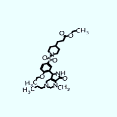 CCCN1CC2=C(C(=O)NC2c2cc(S(=O)(=O)N3CCC(CCC(=O)OCC)CC3)ccc2OCC)N(C)C1